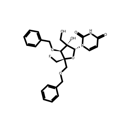 O=c1ccn([C@@H]2O[C@](CF)(COCc3ccccc3)[C@@H](OCc3ccccc3)[C@@]2(O)CO)c(=O)[nH]1